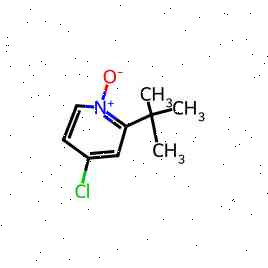 CC(C)(C)c1cc(Cl)cc[n+]1[O-]